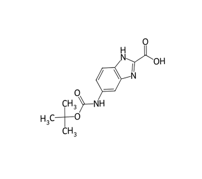 CC(C)(C)OC(=O)Nc1ccc2[nH]c(C(=O)O)nc2c1